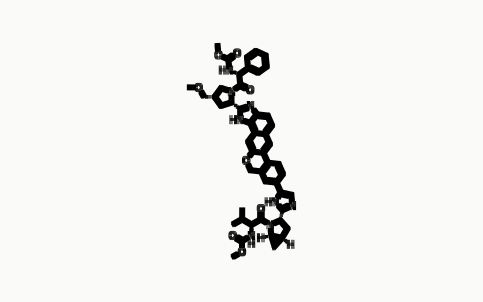 COC[C@H]1C[C@@H](c2nc3ccc4cc5c(cc4c3[nH]2)OCc2cc(-c3cnc([C@@H]4C[C@H]6C[C@H]6N4C(=O)[C@@H](NC(=O)OC)C(C)C)[nH]3)ccc2-5)N(C(=O)[C@H](NC(=O)OC)c2ccccc2)C1